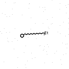 CCSCCCCCCCCCCCCCC1CCCCC1